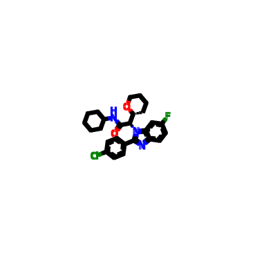 O=C(NC1CCCCC1)[C@H]([C@H]1CCCCO1)n1c(-c2ccc(Cl)cc2)nc2ccc(F)cc21